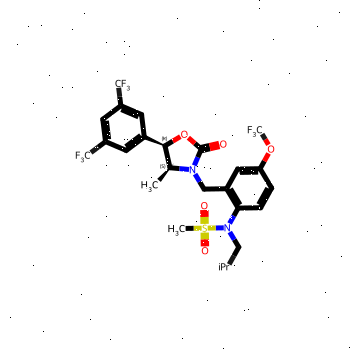 CC(C)CN(c1ccc(OC(F)(F)F)cc1CN1C(=O)O[C@H](c2cc(C(F)(F)F)cc(C(F)(F)F)c2)[C@@H]1C)S(C)(=O)=O